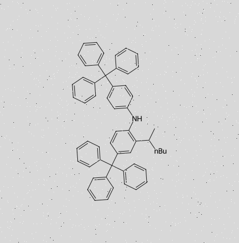 CCCCC(C)c1cc(C(c2ccccc2)(c2ccccc2)c2ccccc2)ccc1Nc1ccc(C(c2ccccc2)(c2ccccc2)c2ccccc2)cc1